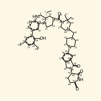 CC[C@@]12CNc3nnc(-c4cc(F)cc(F)c4O)cc3N1CCN(C(=O)N1CCN(CC3CCN(c4ccc5c(c4)C(=O)N([C@@H]4CCC(=O)NC4=O)C5)CC3)CC1(C)C)C2